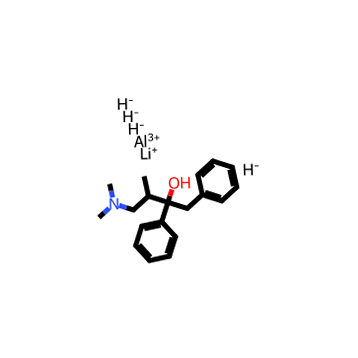 CC(CN(C)C)C(O)(Cc1ccccc1)c1ccccc1.[Al+3].[H-].[H-].[H-].[H-].[Li+]